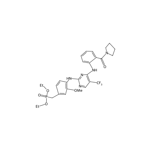 CCOP(=O)(Cc1ccc(Nc2ncc(C(F)(F)F)c(Nc3ccccc3C(=O)N3CCCC3)n2)c(OC)c1)OCC